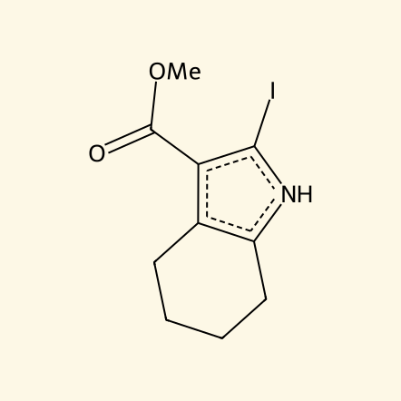 COC(=O)c1c(I)[nH]c2c1CCCC2